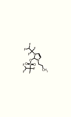 CCCN1C=CN(C(F)(F)C(F)F)C1OS(=O)(=O)C(F)(F)C(F)F